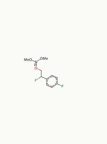 CO[SiH](OC)OCC(F)c1ccc(F)cc1